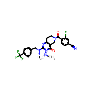 CN(C)n1c(NCc2ccc(C(F)(F)F)cc2)nc2c(c1=O)CN(C(=O)c1ccc(C#N)cc1F)CC2